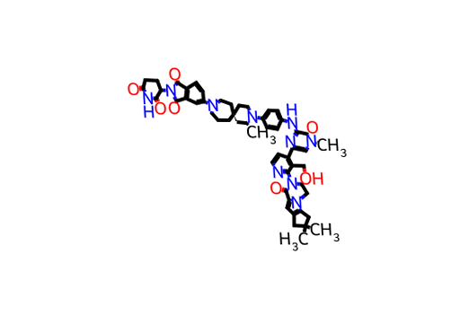 C[C@H]1C[C@@]2(CCCN(c3ccc4c(c3)C(=O)N(C3CCC(=O)NC3=O)C4=O)CC2)CCN1c1ccc(Nc2nc(-c3ccnc(N4CCn5c(cc6c5CC(C)(C)C6)C4=O)c3CO)cn(C)c2=O)cc1